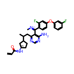 C=CC(=O)N[C@@H]1CCC(C(C)Cc2ncnc(N)c2/C(=N\C)c2ccc(Oc3cccc(F)c3)cc2F)C1